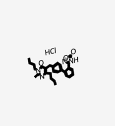 CCCCc1nc(C)n(CCCC)c(=O)c1Cc1ccc(-c2ccccc2-c2noc(=O)[nH]2)cc1.Cl